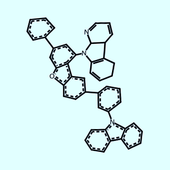 C1=CC2C3=C(C=CCC3)N(c3cc(-c4ccccc4)cc4oc5ccc(-c6cccc(-n7c8ccccc8c8ccccc87)c6)cc5c34)C2N=C1